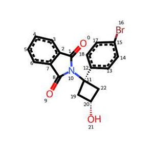 O=C1c2ccccc2C(=O)N1[C@]1(c2ccc(Br)cc2)C[C@@H](O)C1